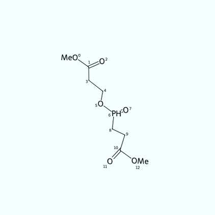 COC(=O)CCO[PH](=O)CCC(=O)OC